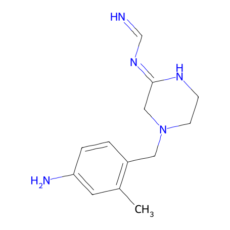 Cc1cc(N)ccc1CN1CCN/C(=N\C=N)C1